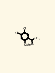 COc1cc(Cl)c(Cl)cc1C(C)Br